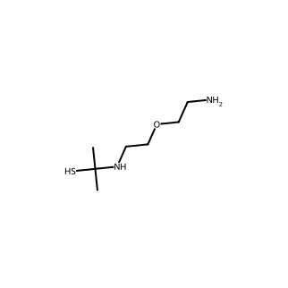 CC(C)(S)NCCOCCN